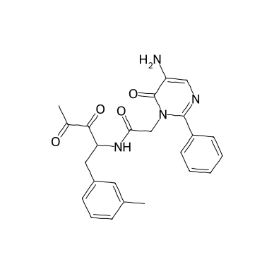 CC(=O)C(=O)C(Cc1cccc(C)c1)NC(=O)Cn1c(-c2ccccc2)ncc(N)c1=O